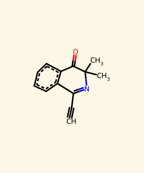 C#CC1=NC(C)(C)C(=O)c2ccccc21